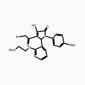 COCCOc1ncccc1C1C(C(=O)CC(C)C)=C(O)C(=O)N1c1ccc(SC)cc1